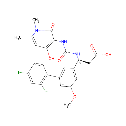 COc1cc(-c2ccc(F)cc2F)cc([C@H](CC(=O)O)NC(=O)Nc2c(O)cc(C)n(C)c2=O)c1